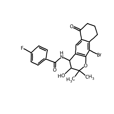 CC1(C)Oc2c(cc3c(c2Br)CCCC3=O)C(NC(=O)c2ccc(F)cc2)C1O